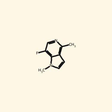 Cc1ncc(F)c2c1ccn2C